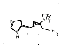 CC/C(C)=C\C=C1/CN=CN1